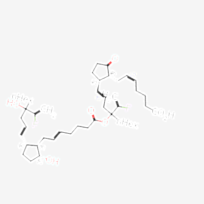 C=C(F)C(O)(CC=C[C@H]1CC[C@@H](O)[C@@H]1CC=CCCCC(=O)OC(C/C=C/[C@H]1CCC(=O)[C@@H]1C/C=C\CCCC(=O)O)(CCCCCC)C(=C)F)CCCCCC